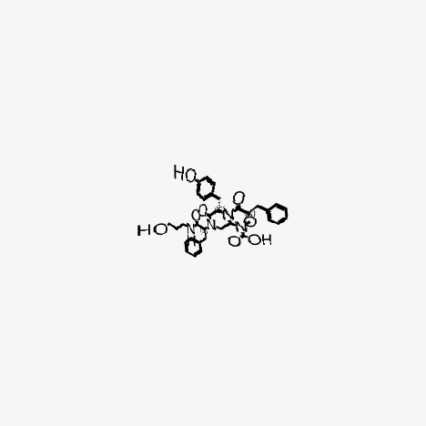 O=C(NCCCO)[C@H](Cc1ccccc1)N1CC2N(C(=O)O)O[C@H](Cc3ccccc3)C(=O)N2[C@@H](Cc2ccc(O)cc2)C1=O